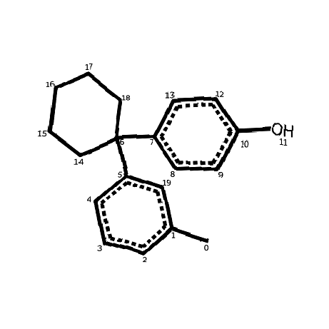 Cc1cccc(C2(c3ccc(O)cc3)CCCCC2)c1